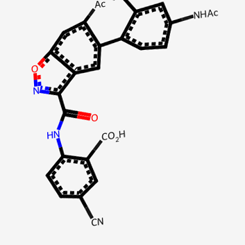 CC(=O)Nc1ccc(-c2cc3c(C(=O)Nc4ccc(C#N)cc4C(=O)O)noc3cc2C(C)=O)c(C)c1